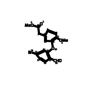 COC(=O)Cc1ccc(OC)c(Oc2cc(Br)ccc2C=O)c1